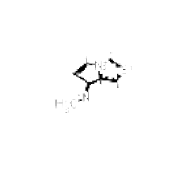 CN=C1C=C[n+]2cscc21